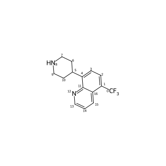 FC(F)(F)c1ccc(C2CCNCC2)c2ncccc12